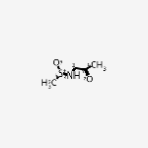 CC(=O)CN[S+](C)[O-]